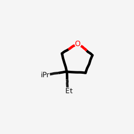 CCC1(C(C)C)CCOC1